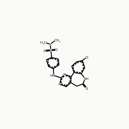 CN(C)S(=O)(=O)c1ccc(Nc2ncc3c(n2)-c2ccc(Cl)cc2NC(=O)C3)cc1